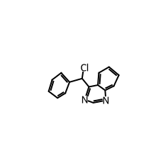 ClC(c1ccccc1)c1ncnc2ccccc12